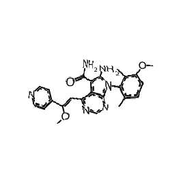 COC(=Cc1ncnc2c1c(C(N)=O)c(N)n2-c1c(C)ccc(OC)c1C)c1ccncc1